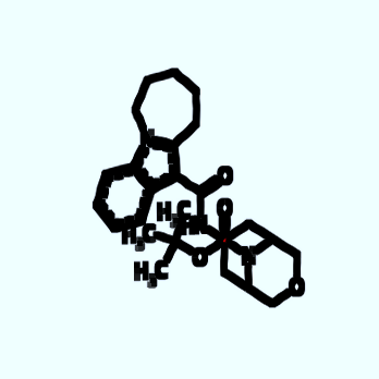 CC(C)(C)OC(=O)N1C2COCC1CC(NC(=O)c1c3n(c4ccccc14)CCCCC3)C2